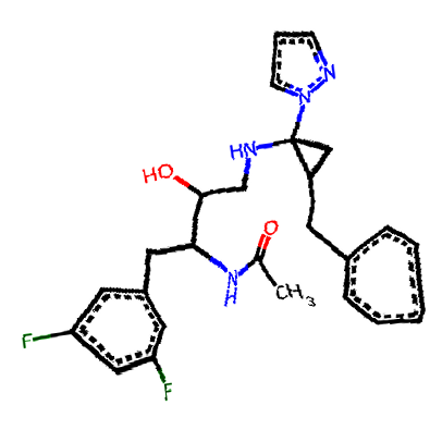 CC(=O)NC(Cc1cc(F)cc(F)c1)C(O)CNC1(n2cccn2)CC1Cc1ccccc1